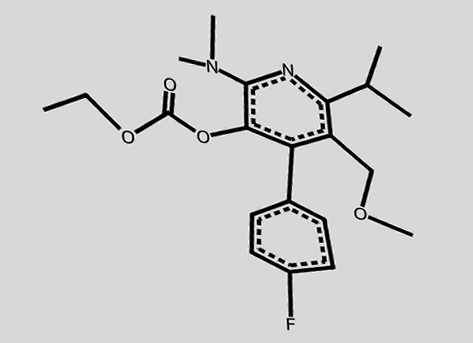 CCOC(=O)Oc1c(N(C)C)nc(C(C)C)c(COC)c1-c1ccc(F)cc1